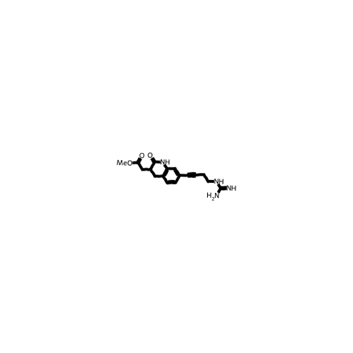 COC(=O)CC1Cc2ccc(C#CCCNC(=N)N)cc2NC1=O